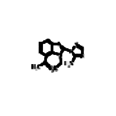 C=C(C)c1cncc2nc(-n3ncnc3N)n(CC)c12